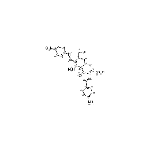 Nc1c(N=Nc2ccc([N+](=O)[O-])cc2)c(S(=O)(=O)O)cc2cc(S(=O)(=O)O)c(N=Nc3ccc([N+](=O)[O-])cc3)c(O)c12